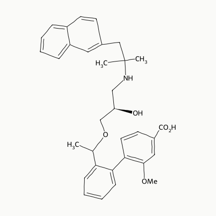 COc1cc(C(=O)O)ccc1-c1ccccc1C(C)OC[C@H](O)CNC(C)(C)Cc1ccc2ccccc2c1